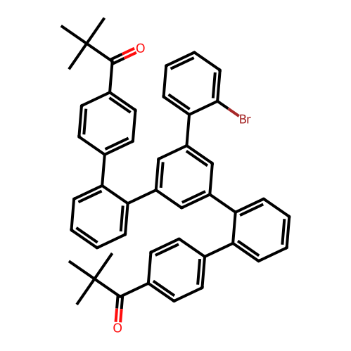 CC(C)(C)C(=O)c1ccc(-c2ccccc2-c2cc(-c3ccccc3Br)cc(-c3ccccc3-c3ccc(C(=O)C(C)(C)C)cc3)c2)cc1